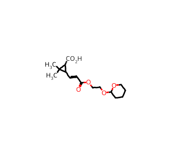 CC1(C)C(C=CC(=O)OCCOC2CCCCO2)C1C(=O)O